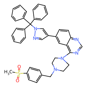 CS(=O)(=O)c1ccc(CN2CCN(c3ncnc4ccc(-c5cnn(C(c6ccccc6)(c6ccccc6)c6ccccc6)c5)cc34)CC2)cc1